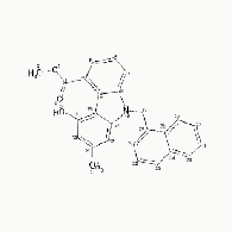 COC(=O)c1cccc2c1c1c(O)cc(C)cc1n2Cc1cccc2ccccc12